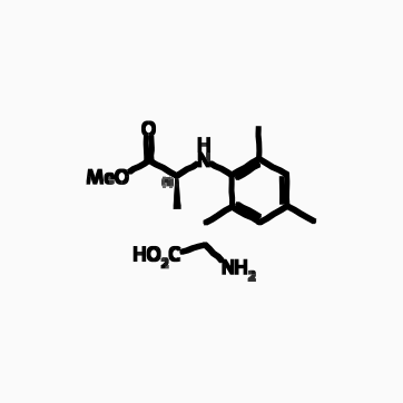 COC(=O)[C@H](C)Nc1c(C)cc(C)cc1C.NCC(=O)O